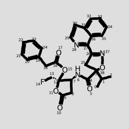 CC(C)C1(C(=O)N[C@H]2CC(=O)O[C@@]2(CF)OC(=O)Cc2ccccc2)CC(c2nccc3ccccc23)=NO1